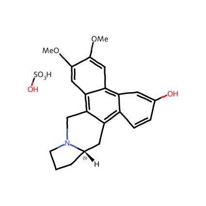 COc1cc2c3c(c4ccc(O)cc4c2cc1OC)C[C@@H]1CCCN1C3.O=S(=O)(O)O